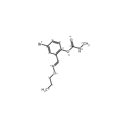 CCCO/N=C/c1cc(Br)ccc1OC(=O)NC